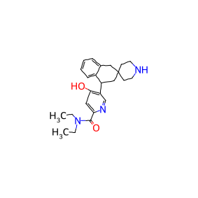 CCN(CC)C(=O)c1cc(O)c(C2CC3(CCNCC3)Cc3ccccc32)cn1